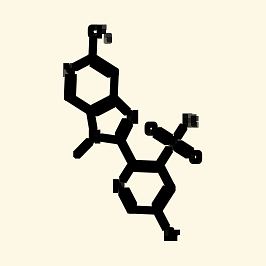 CCS(=O)(=O)c1cc(Br)cnc1-c1nc2cc(C(F)(F)F)ncc2n1C